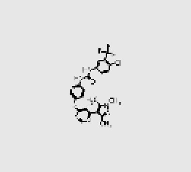 Cc1nn(C)c(C)c1-c1cc(Oc2ccc(NC(=O)Nc3ccc(Cl)c(C(F)(F)F)c3)cc2)ncn1